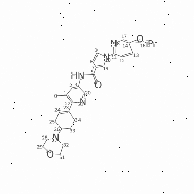 Cc1cc(NC(=O)c2ccn(-c3ccc(OC(C)C)cn3)c2)cnc1C1=CCC(N2CCOCC2)CC1